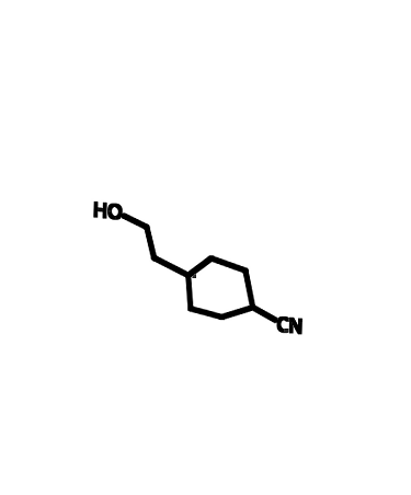 N#CC1CC[C](CCO)CC1